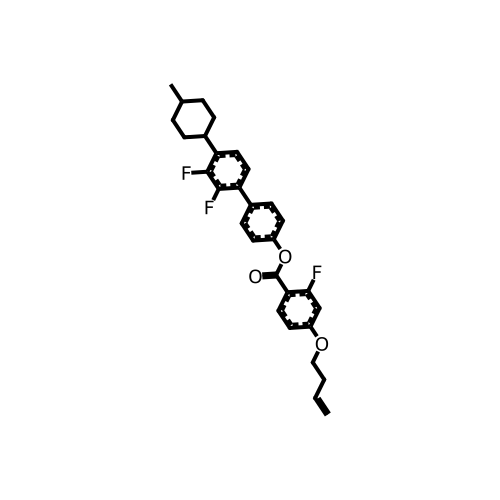 C=CCCOc1ccc(C(=O)Oc2ccc(-c3ccc(C4CCC(C)CC4)c(F)c3F)cc2)c(F)c1